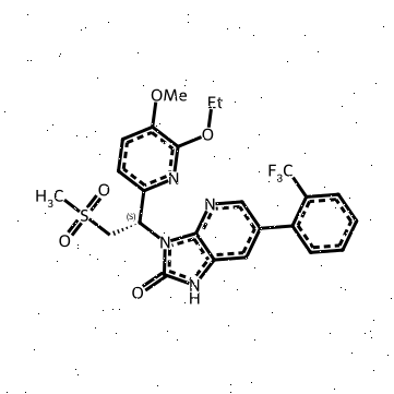 CCOc1nc([C@@H](CS(C)(=O)=O)n2c(=O)[nH]c3cc(-c4ccccc4C(F)(F)F)cnc32)ccc1OC